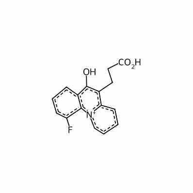 O=C(O)CCc1c(O)c2cccc(F)c2[n+]2ccccc12